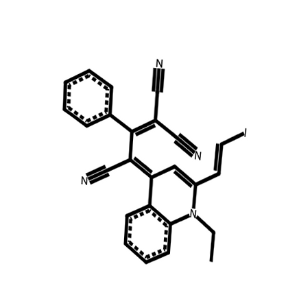 CCN1C(/C=C/I)=CC(=C(/C#N)C(=C(C#N)C#N)c2ccccc2)/c2ccccc21